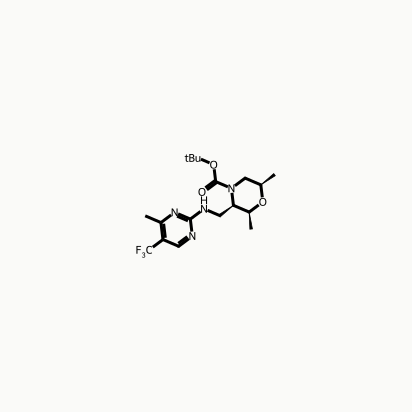 Cc1nc(NC[C@@H]2[C@H](C)O[C@H](C)CN2C(=O)OC(C)(C)C)ncc1C(F)(F)F